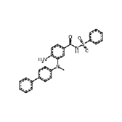 CN(c1ccc(-c2ccccc2)cc1)c1cc(C(=O)NS(=O)(=O)c2ccccc2)ccc1N